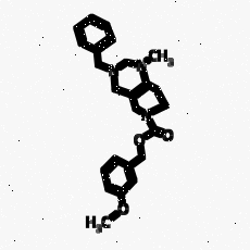 COc1cccc(COC(=O)N2CCC3=C(CN(Cc4ccccc4)CN3C)C2)c1